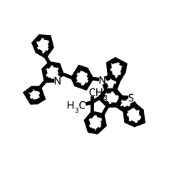 CC1(C)c2ccccc2-c2c1c1c(c3ccccc3n1-c1ccc(-c3cc(-c4ccccc4)cc(-c4ccccc4)n3)cc1)c1sc3ccccc3c21